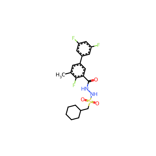 Cc1cc(-c2cc(F)cc(F)c2)cc(C(=O)NNS(=O)(=O)CC2CCCCC2)c1F